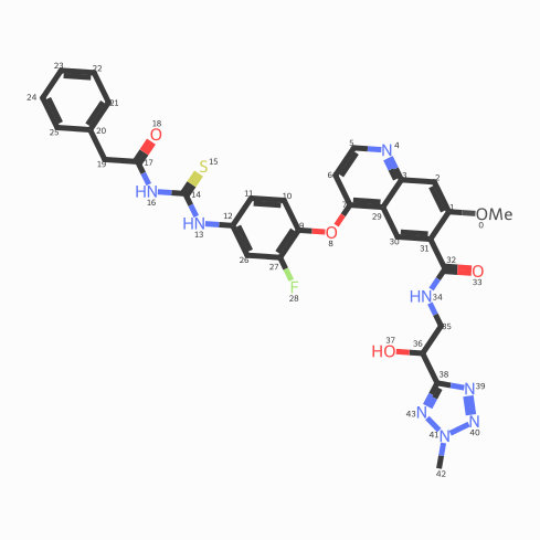 COc1cc2nccc(Oc3ccc(NC(=S)NC(=O)Cc4ccccc4)cc3F)c2cc1C(=O)NCC(O)c1nnn(C)n1